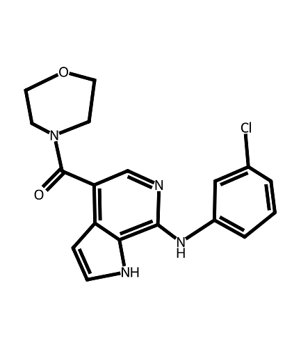 O=C(c1cnc(Nc2cccc(Cl)c2)c2[nH]ccc12)N1CCOCC1